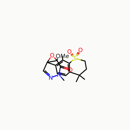 COC12OC1(c1ccc3c(c1C)S(=O)(=O)CCC3(C)C)C=NN(C)C2=O